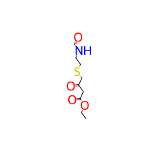 CCOC(=O)CC(=O)CSCCNC=O